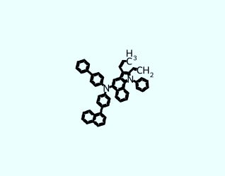 C=Cc1c(/C=C\C)c2cc(N(c3ccc(-c4ccccc4)cc3)c3ccc(-c4cccc5ccccc45)cc3)c3ccccc3c2n1-c1ccccc1